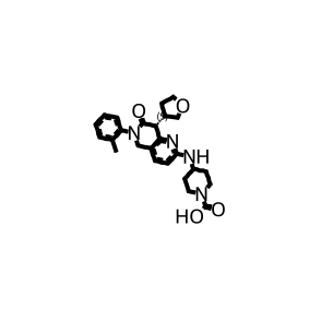 Cc1ccccc1N1Cc2ccc(NC3CCN(C(=O)O)CC3)nc2C([C@@H]2CCOC2)C1=O